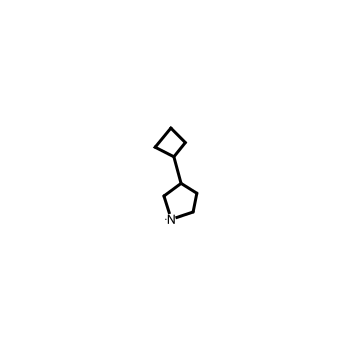 C1CC(C2CC[N]C2)C1